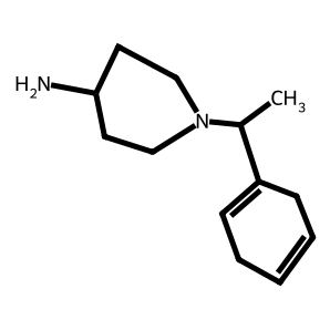 CC(C1=CCC=CC1)N1CCC(N)CC1